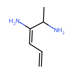 C=C/C=C(/N)C(C)N